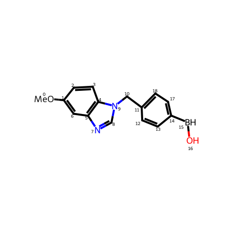 COc1ccc2c(c1)ncn2Cc1ccc(BO)cc1